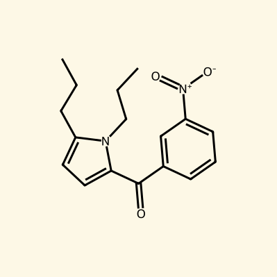 CCCc1ccc(C(=O)c2cccc([N+](=O)[O-])c2)n1CCC